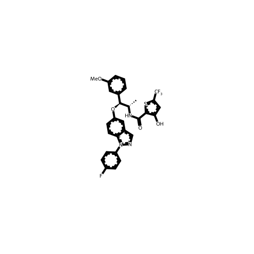 COc1cccc([C@H](Oc2ccc3c(cnn3-c3ccc(F)cc3)c2)[C@H](C)NC(=O)c2sc(C(F)(F)F)cc2O)c1